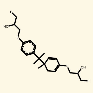 CC1(C(C)(C)c2ccc(OCC(O)CF)cc2)C=CC(OCC(O)CF)=CC1